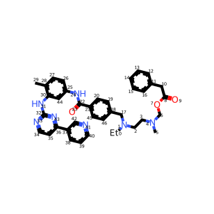 CCN(CCN(C)COC(=O)Cc1ccccc1)Cc1ccc(C(=O)Nc2ccc(C)c(Nc3nccc(-c4cccnc4)n3)c2)cc1